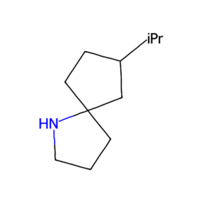 CC(C)C1CCC2(CCCN2)C1